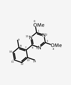 COc1nc(OC)nc(-c2c(C)c[c]cc2C)n1